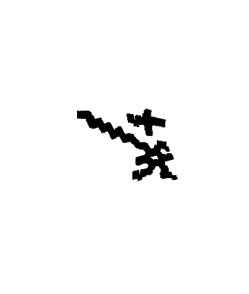 COC1=C(OC)C(=O)C(CCCCCCCCCCO)=C(C)C1=O.CS(=O)(=O)O